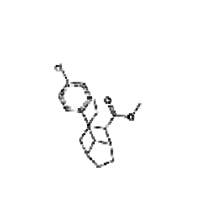 CCCC1C2CCC1C(C(=O)OC)C(c1ccc(Cl)cc1)C2